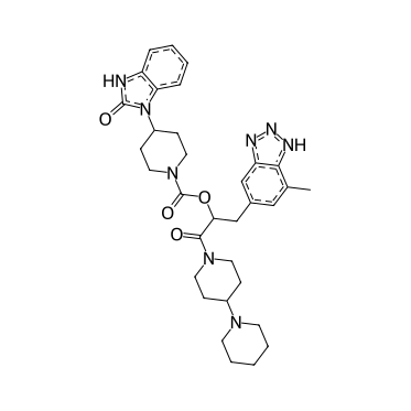 Cc1cc(CC(OC(=O)N2CCC(n3c(=O)[nH]c4ccccc43)CC2)C(=O)N2CCC(N3CCCCC3)CC2)cc2nn[nH]c12